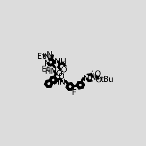 CCc1nc2c(cnn2CC)c(NC2CCOCC2)c1CNC(=O)c1cc2ccccc2cc1C(=O)NCc1ccc(F)c(-c2cccc(CN3CCN(C(=O)OC(C)(C)C)[C@@H](C)C3)c2)c1